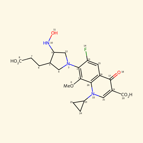 COc1c(N2CC(CCC(=O)O)C(NO)C2)c(F)cc2c(=O)c(C(=O)O)cn(C3CC3)c12